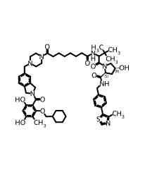 Cc1ncsc1-c1ccc(CNC(=O)[C@@H]2C[C@@H](O)CN2C(=O)C(NC(=O)CCCCCCC(=O)N2CCN(Cc3ccc4c(c3)CN(C(=O)c3c(O)cc(O)c(C)c3OCC3CCCCC3)C4)CC2)C(C)(C)C)cc1